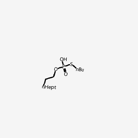 CCCCCCCCCOP(=O)(O)SCCCC